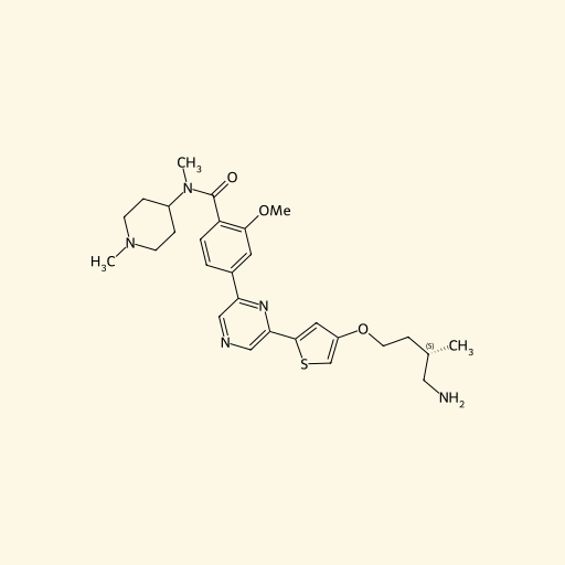 COc1cc(-c2cncc(-c3cc(OCC[C@H](C)CN)cs3)n2)ccc1C(=O)N(C)C1CCN(C)CC1